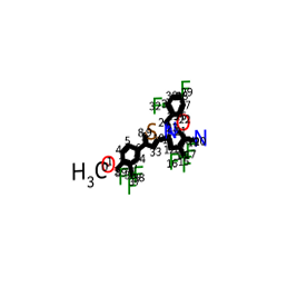 COCc1ccc(-c2csc(-c3cc(C(F)(F)F)c(C#N)c(=O)n3Cc3ccc(F)cc3F)c2)cc1C(F)(F)F